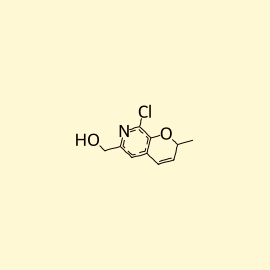 CC1C=Cc2cc(CO)nc(Cl)c2O1